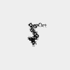 CCCCCCCCc1ccc2c(c1)c1ccccc1n2-c1cccc(-c2ccc3oc4ccc(-n5c6ccccc6c6cc(C)ccc65)cc4c3c2)c1